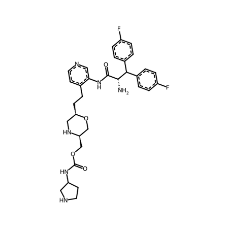 N[C@H](C(=O)Nc1cnccc1CC[C@@H]1CN[C@H](COC(=O)NC2CCNC2)CO1)C(c1ccc(F)cc1)c1ccc(F)cc1